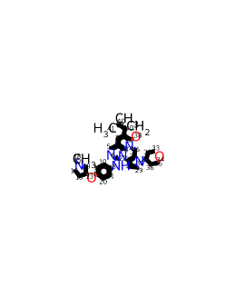 C=C(c1cc2cnc(Nc3ccc(OC4CCN(C)C4)cc3)nc2n(Cc2cccn2C2CCOCC2)c1=O)C(C)C